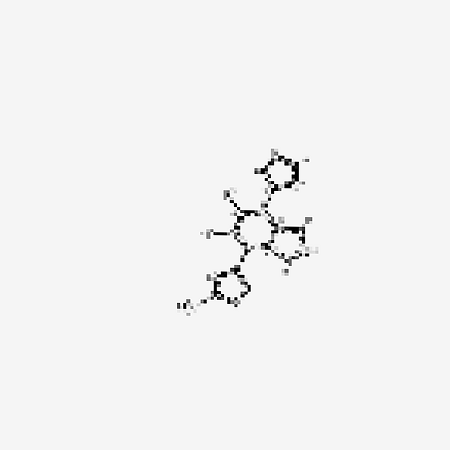 Cc1ccc(-c2c(F)c(F)c(-c3cccs3)c3nsnc23)s1